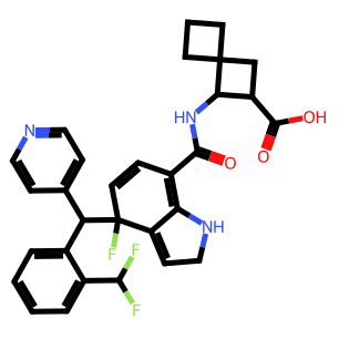 O=C(NC1C(C(=O)O)CC12CCC2)C1=C2NCC=C2C(F)(C(c2ccncc2)c2ccccc2C(F)F)C=C1